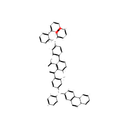 C=C1c2ccc(N(c3ccccc3)c3ccc4c(c3)C=CC3C=CC=CC43)cc2Oc2ccc3c(c21)C(=C)Oc1cc(N(c2ccccc2)c2ccccc2-c2ccccc2)ccc1-3